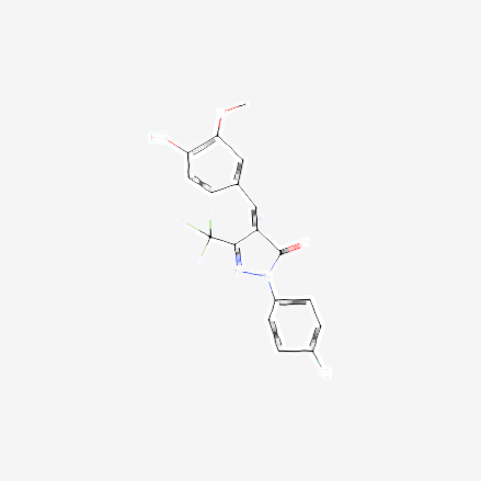 COc1cc(/C=C2/C(=O)N(c3ccc(Cl)cc3)N=C2C(F)(F)F)ccc1O